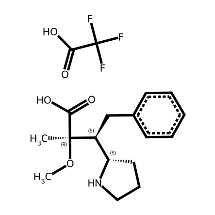 CO[C@@](C)(C(=O)O)[C@@H](Cc1ccccc1)[C@@H]1CCCN1.O=C(O)C(F)(F)F